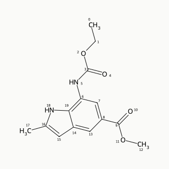 CCOC(=O)Nc1cc(C(=O)OC)cc2cc(C)[nH]c12